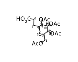 CC(=O)OC[C@H]1SC(CCC(=O)O)[C@@H](OC(C)=O)[C@@H](OC(C)=O)[C@@H]1OC(C)=O